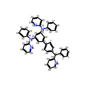 c1ccc(C(c2ccc(-c3cc(N(c4ccccc4)c4ccccn4)cc(N(c4ccccc4)c4ccccn4)c3)cc2)c2ccccn2)cc1